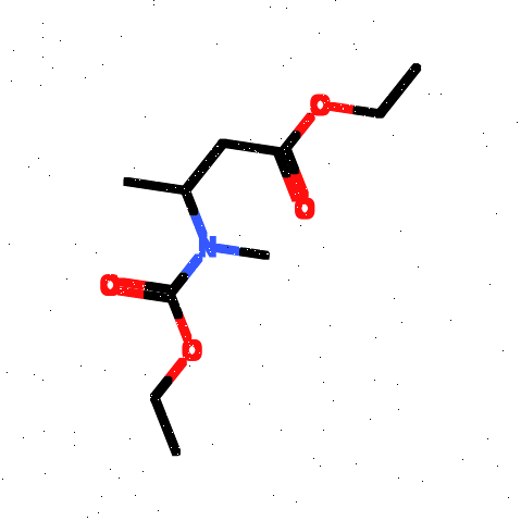 CCOC(=O)CC(C)N(C)C(=O)OCC